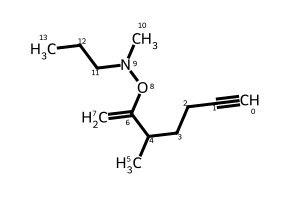 C#CCCC(C)C(=C)ON(C)CCC